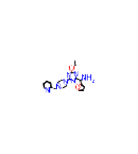 CCOc1nc(C(N)c2ccco2)nc(N2CCN(Cc3ccccn3)CC2)n1